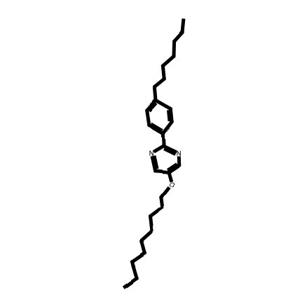 CCCCCCCCCOc1cnc(-c2ccc(CCCCCCC)cc2)nc1